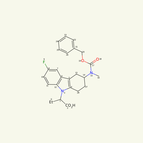 CCC(C(=O)O)n1c2c(c3cc(F)ccc31)CC(N(C)C(=O)OCc1ccccc1)CC2